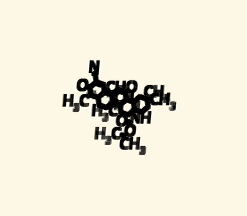 CC(C)OC(=O)N[C@]12CCC(C)(C)CC1C1C(=O)C=C3[C@@]4(C)C=C(C#N)C(=O)[C@@H](C)C4CC[C@@]3(C)[C@]1(C)CC2